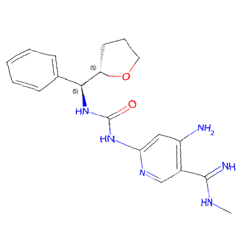 CNC(=N)c1cnc(NC(=O)N[C@@H](c2ccccc2)[C@@H]2CCCO2)cc1N